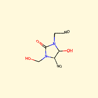 O=NCN1C(=O)N(CO)C(N=O)C1O